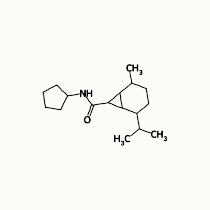 CC(C)C1CCC(C)C2C(C(=O)NC3CCCC3)C12